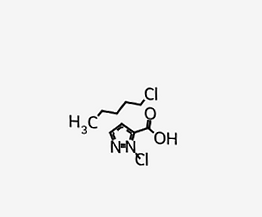 CCCCCCl.O=C(O)c1ccnn1Cl